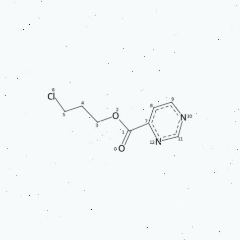 O=C(OCCCCl)c1ccncn1